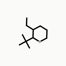 CCC1CCCSC1C(C)(C)C